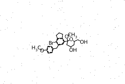 COc1ccc(Cc2cc(C3(OC)CC(O)CC(CO)O3)c3c(c2Br)CCC3)cc1